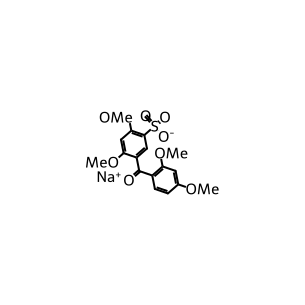 COc1ccc(C(=O)c2cc(S(=O)(=O)[O-])c(OC)cc2OC)c(OC)c1.[Na+]